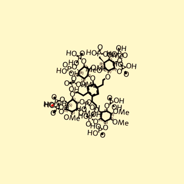 CO[C@@H]1[C@@H](OC)[C@H](OP(=O)(O)O)[C@@H](OP(=O)(O)O)[C@@H](OCCc2cc(CCO[C@H]3[C@@H](OP(=O)(O)O)[C@H](OP(=O)(O)O)[C@@H](OC)[C@H](CP(=O)(O)O)[C@H]3OC)c(O[C@H]3[C@@H](OC)[C@H](OP(=O)(O)O)[C@@H](OP(=O)(O)O)[C@H](OP(=O)(O)O)[C@H]3OC)cc2CCO[C@H]2[C@@H](OP(=O)(O)O)[C@H](OC)[C@@H](OC)[C@H](OP(=O)(O)O)[C@H]2OP(=O)(O)O)[C@H]1OP(=O)(O)O